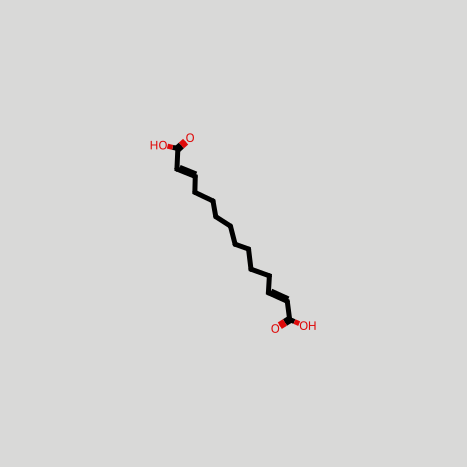 O=C(O)C=CCCCCCCCCC=CC(=O)O